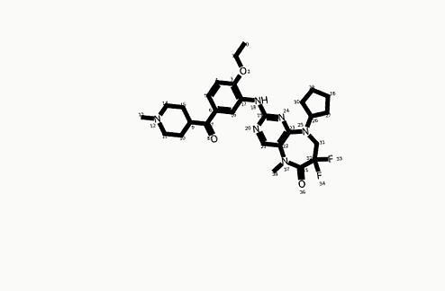 CCOc1ccc(C(=O)C2CCN(C)CC2)cc1Nc1ncc2c(n1)N(C1CCCC1)CC(F)(F)C(=O)N2C